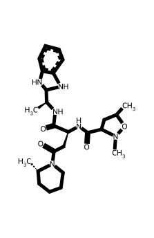 CC1CC(C(=O)N[C@@H](CC(=O)N2CCCC[C@@H]2C)C(=O)N[C@@H](C)C2Nc3ccccc3N2)N(C)O1